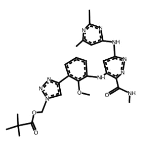 CNC(=O)c1nnc(Nc2cc(C)nc(C)n2)cc1Nc1cccc(-c2cn(COC(=O)C(C)(C)C)nn2)c1OC